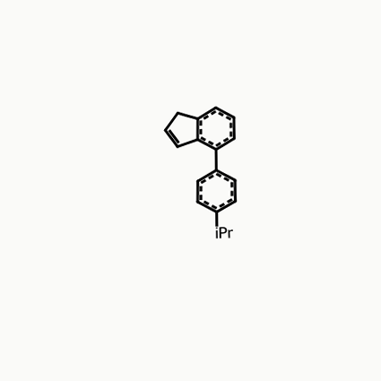 CC(C)c1ccc(-c2cccc3c2C=CC3)cc1